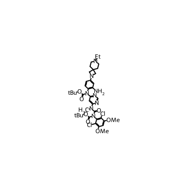 CCN1CCC2(CC1)CN(c1ccc(N(C(=O)OC(C)(C)C)c3cc(N(C)C(=O)N(C(=O)OC(C)(C)C)c4c(Cl)c(OC)cc(OC)c4Cl)ncn3)c(N)c1)C2